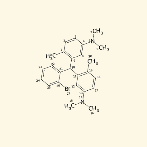 Cc1ccc(N(C)C)cc1C(c1cc(N(C)C)ccc1C)c1ccccc1Br